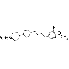 CCCCC[SiH]1CCC([C@H]2CC[C@H](CCCCc3ccc(OC(F)(F)F)c(F)c3)CC2)CC1